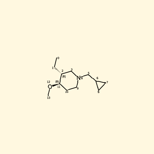 CC[C@@H]1CN(CC2CC2)CC[C@H]1OC